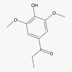 CCC(=O)c1cc(OC)c(O)c(OC)c1